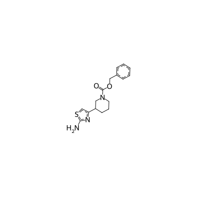 Nc1nc(C2CCCN(C(=O)OCc3ccccc3)C2)cs1